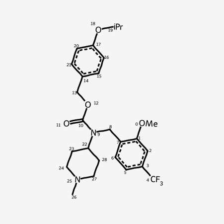 COc1cc(C(F)(F)F)ccc1CN(C(=O)OCc1ccc(OC(C)C)cc1)C1CCN(C)CC1